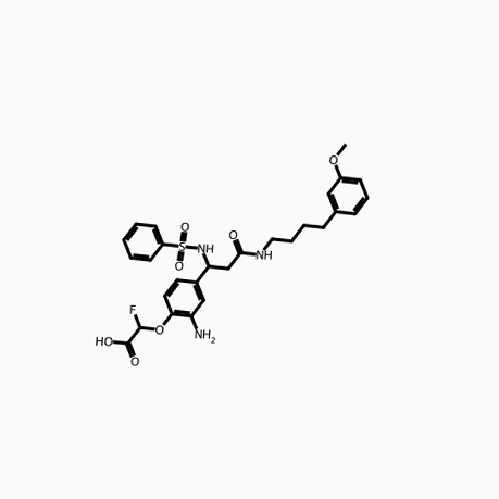 COc1cccc(CCCCNC(=O)CC(NS(=O)(=O)c2ccccc2)c2ccc(OC(F)C(=O)O)c(N)c2)c1